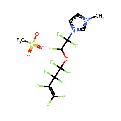 Cn1cc[n+](C(F)(F)C(F)OC(F)(F)C(F)(F)C(F)=C(F)F)c1.O=S(=O)([O-])C(F)(F)F